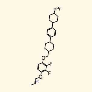 C/C=C/Oc1ccc(OCC2CCC(c3ccc(C4CCC(CCC)CC4)cc3)CC2)c(F)c1F